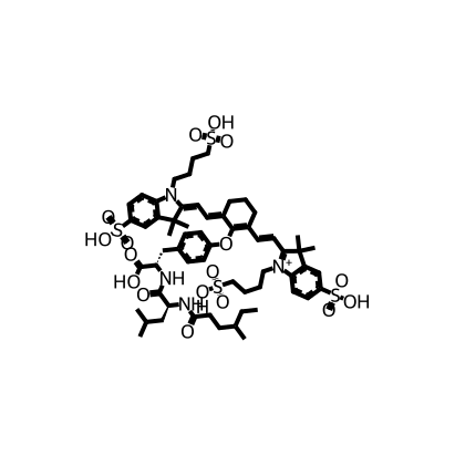 CCC(C)CCC(=O)N[C@@H](CC(C)C)C(=O)N[C@@H](Cc1ccc(OC2=C(/C=C/C3=[N+](CCCCS(=O)(=O)O)c4ccc(S(=O)(=O)O)cc4C3(C)C)CCC/C2=C\C=C2\N(CCCCS(=O)(=O)O)c3ccc(S(=O)(=O)O)cc3C2(C)C)cc1)C(=O)O